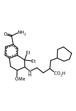 CCC1(CC)c2cc(C(N)=O)ccc2CC(OC)C1NCCC(CC1CCCCC1)C(=O)O